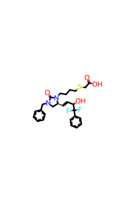 O=C(O)CSCCCCN1C(=O)N(Cc2ccccc2)C[C@@H]1/C=C/C(O)C(F)(F)c1ccccc1